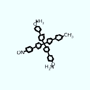 Cc1ccc(-c2ccc(C(c3ccc(-c4ccc(N=O)cc4)cc3)(c3ccc(-c4ccc(ON)cc4)cc3)c3ccc(-c4ccc(ON)cc4)cc3)cc2)cc1